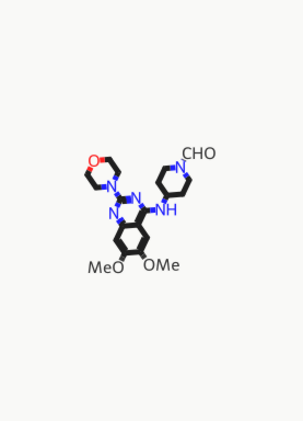 COc1cc2nc(N3CCOCC3)nc(NC3CCN(C=O)CC3)c2cc1OC